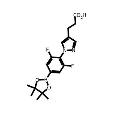 CC1(C)OB(c2cc(F)c(-n3cc(CCC(=O)O)cn3)c(F)c2)OC1(C)C